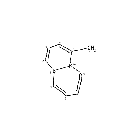 CC1=CC=CB2C=CC=CN21